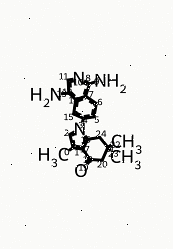 Cc1cn(-c2ccc3c(N)ncc(N)c3c2)c2c1C(=O)CC(C)(C)C2